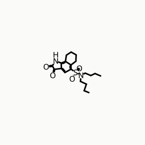 CCCCN(CCCC)S(=O)(=O)c1cc2c(c3c1CCCC3)NC(=O)C2=O